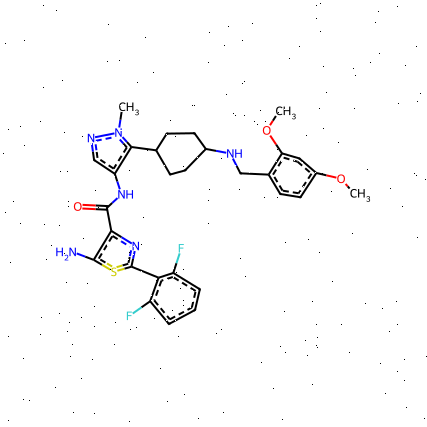 COc1ccc(CNC2CCC(c3c(NC(=O)c4nc(-c5c(F)cccc5F)sc4N)cnn3C)CC2)c(OC)c1